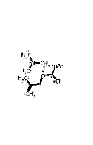 C=C(C)COC(Cl)CCC.CN(C)C